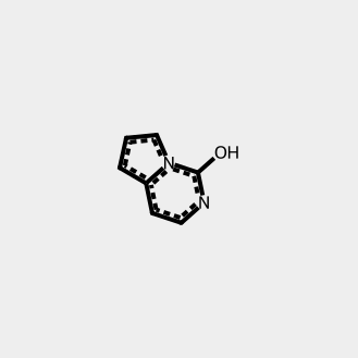 Oc1nccc2cccn12